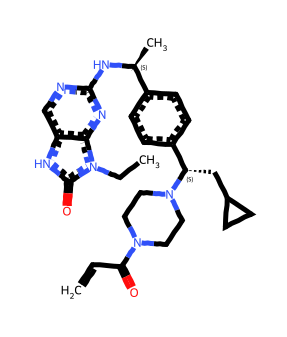 C=CC(=O)N1CCN([C@@H](CC2CC2)c2ccc([C@H](C)Nc3ncc4[nH]c(=O)n(CC)c4n3)cc2)CC1